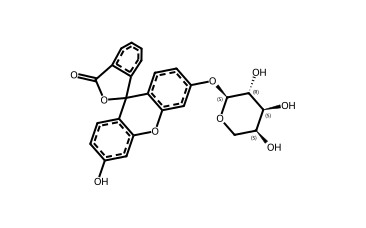 O=C1OC2(c3ccc(O)cc3Oc3cc(O[C@@H]4OC[C@H](O)[C@H](O)[C@H]4O)ccc32)c2ccccc21